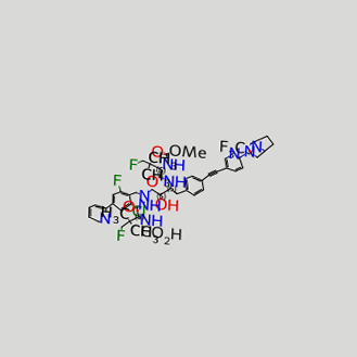 COC(=O)N[C@H](C(=O)N[C@@H](Cc1ccc(C#Cc2ccc(N3CC4CCC(C3)N4CC(F)(F)F)nc2)cc1)[C@@H](O)CN(Cc1c(F)cc(-c2ccccn2)cc1Cl)NC(=O)[C@@H](NC(=O)O)C(C)(C)CF)C(C)(C)CF